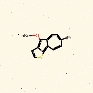 CCCCOc1c2ccc(C(C)C)ccc-2c2sccc12